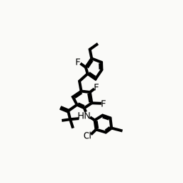 C=C(c1cc(Cc2cccc(CC)c2F)c(F)c(F)c1Nc1ccc(C)cc1Cl)C(C)(C)C